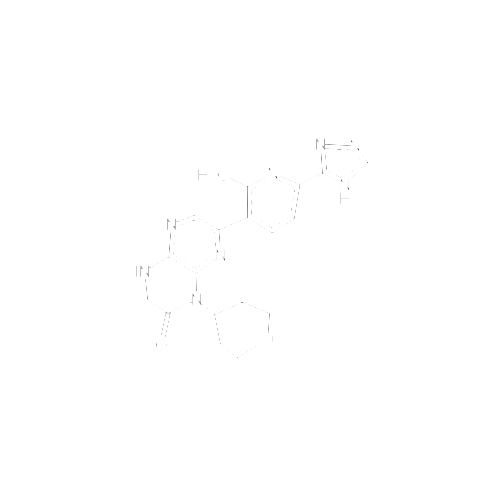 Cc1nc(-c2nnc[nH]2)ccc1-c1cnc2c(n1)N(C1CCOCC1)C(=O)CN2